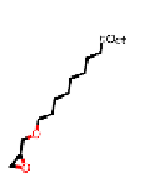 CCCCCCCCCCCCCCCCOCC1CO1